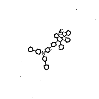 c1ccc(-c2ccc(N(c3ccc(-c4ccccc4)cc3)c3ccc(-c4ccc(-c5c(-c6ccccc6)c6c(c7ccccc57)C5(c7ccccc7-c7ccccc75)c5ccccc5-6)cc4)cc3)cc2)cc1